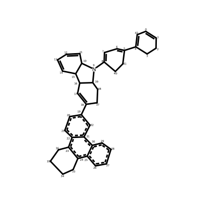 C1=CCCC(C2=CC=C(N3C4C=CC=CC4C4C=C(c5ccc6c7c(c8ccccc8c6c5)CCCC7)CCC43)CC2)=C1